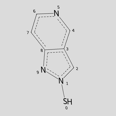 Sn1cc2cnccc2n1